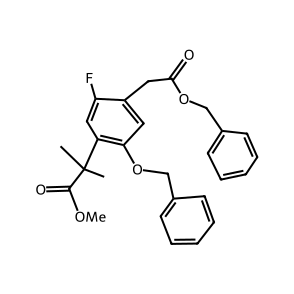 COC(=O)C(C)(C)c1cc(F)c(CC(=O)OCc2ccccc2)cc1OCc1ccccc1